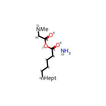 CCCCCCCCCCCC(=O)OC(=O)CNC.N